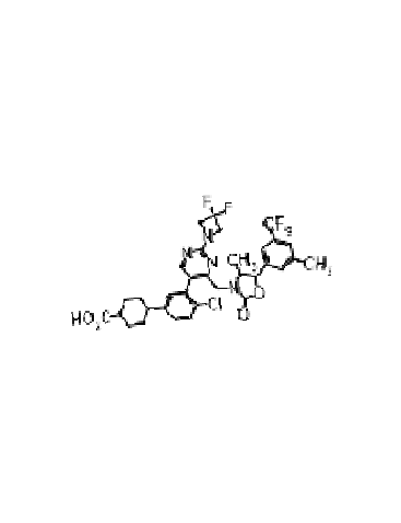 Cc1cc([C@H]2OC(=O)N(Cc3nc(N4CC(F)(F)C4)ncc3-c3cc(C4CCC(C(=O)O)CC4)ccc3Cl)[C@H]2C)cc(C(F)(F)F)c1